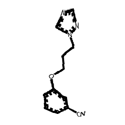 N#Cc1cccc(OCCCn2cncn2)c1